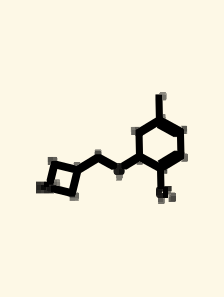 CC1=CC=C(C(F)(F)F)C(OCC2CNC2)C1